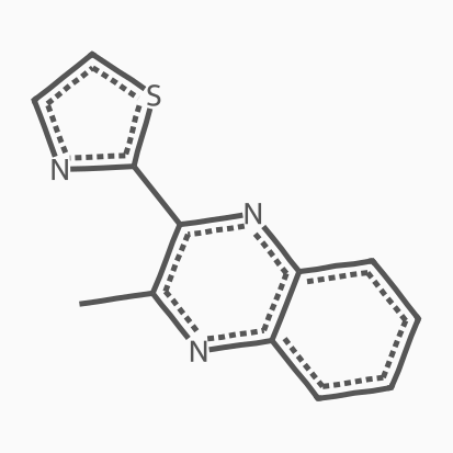 Cc1nc2ccccc2nc1-c1nccs1